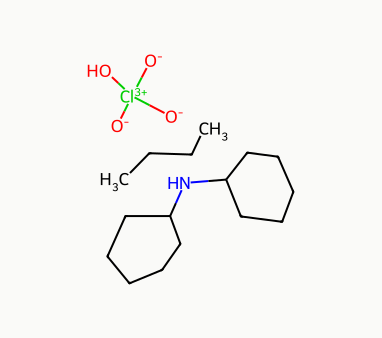 C1CCC(NC2CCCCC2)CC1.CCCC.[O-][Cl+3]([O-])([O-])O